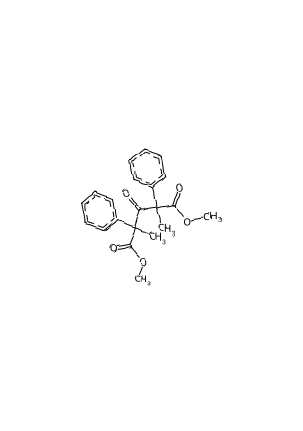 COC(=O)C(C)(C(=O)C(C)(C(=O)OC)c1ccccc1)c1ccccc1